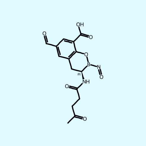 CC(=O)CCC(=O)N[C@H]1Cc2cc(C=O)cc(C(=O)O)c2OB1N=O